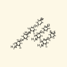 Cc1cc(OCc2ccc(Br)cc2)cc(C)c1N.Cc1cc(OCc2ccc(Cl)cc2)cc(C)c1N.Cc1cc(OCc2ccc(F)c(F)c2)cc(C)c1N.Cc1ccc(COc2cc(C)c(N)c(C)c2)cc1